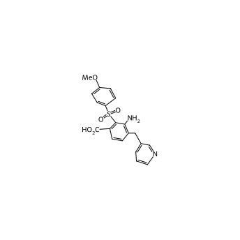 COc1ccc(S(=O)(=O)c2c(C(=O)O)ccc(Cc3cccnc3)c2N)cc1